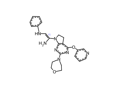 N/C(=C\Nc1ccccc1)N1CCc2c(Oc3cccnc3)nc(N3CCOCC3)nc21